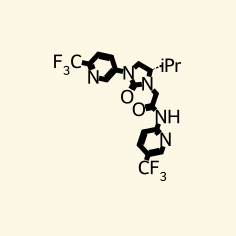 CC(C)[C@H]1CN(c2ccc(C(F)(F)F)nc2)C(=O)N1CC(=O)Nc1ccc(C(F)(F)F)cn1